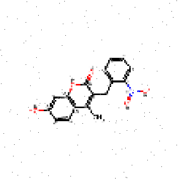 Cc1c(Cc2ccccc2[N+](=O)[O-])c(=O)oc2cc(O)ccc12